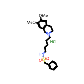 COc1cc2c(cc1OC)CN(CCCCCNS(=O)(=O)Cc1ccccc1)CC2.Cl